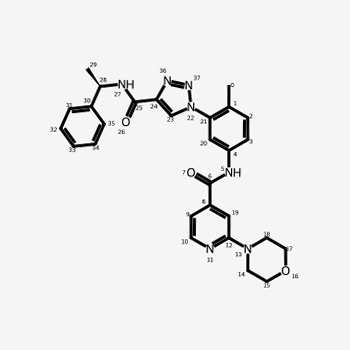 Cc1ccc(NC(=O)c2ccnc(N3CCOCC3)c2)cc1-n1cc(C(=O)N[C@H](C)c2ccccc2)nn1